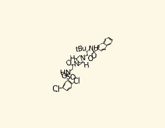 CC(C)(C)[C@H](NC(=O)c1ccc2ccccc2c1)C(=O)N1C[C@@H]2C[C@H]1CN2C(=O)CNS(=O)(=O)c1cc(Cl)ccc1Cl